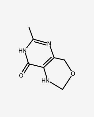 Cc1nc2c(c(=O)[nH]1)NCOC2